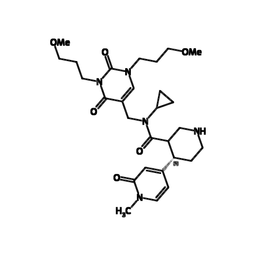 COCCCn1cc(CN(C(=O)C2CNCC[C@@H]2c2ccn(C)c(=O)c2)C2CC2)c(=O)n(CCCOC)c1=O